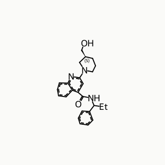 CCC(NC(=O)c1cc(N2CCC[C@H](CO)C2)nc2ccccc12)c1ccccc1